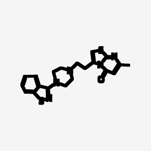 Cc1cc(=O)n2c(CCN3CCN(c4nsc5ccccc45)CC3)csc2n1